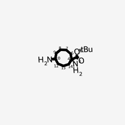 CC(C)(C)OC(=O)C1(N)CCCCC(N)CCC1